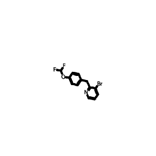 FC(F)Oc1ccc(Cc2nc[c]cc2Br)cc1